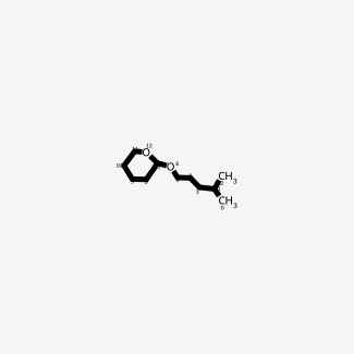 CC(C)CCCOC1CCCCO1